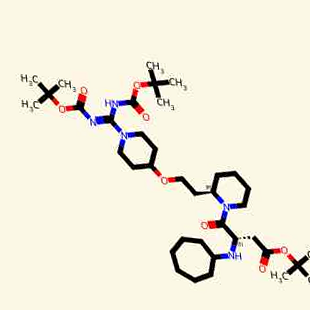 CC(C)(C)OC(=O)C[C@H](NC1CCCCCC1)C(=O)N1CCCC[C@@H]1CCOC1CCN(C(=NC(=O)OC(C)(C)C)NC(=O)OC(C)(C)C)CC1